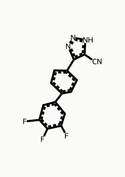 N#Cc1[nH]nnc1-c1ccc(-c2cc(F)c(F)c(F)c2)cc1